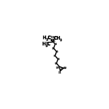 C[Si](C)(C)CCCCCCC1C=C1